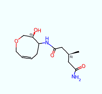 C[C@@H](CC(N)=O)CC(=O)NC1CC=CCOC[C@H]1O